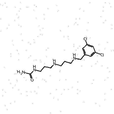 NC(=O)NCCCNCCCNCc1cc(Cl)cc(Cl)c1